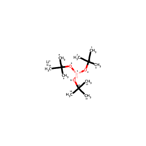 CC(C)(C)O[BH-](OC(C)(C)C)OC(C)(C)C.[Li+]